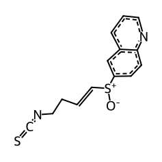 [O-][S+](C=CCCN=C=S)c1ccc2ncccc2c1